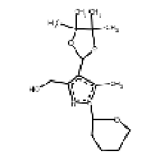 Cc1c(C2OC(C)(C)C(C)(C)O2)c(CO)nn1C1CCCCO1